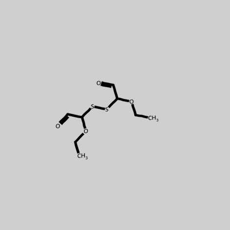 CCOC(C=O)SSC(C=O)OCC